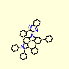 c1ccc(-c2cc3c4c5c6c(c(-c7ccccc7)n(-c7ccccc7)c6ccc5n(-c5nc6ccccc6nc5-c5ccccc5)c4c2)-c2ccccc2-3)cc1